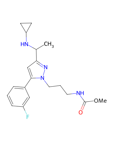 COC(=O)NCCCn1nc(C(C)NC2CC2)cc1-c1cccc(F)c1